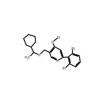 CCOc1cc(-c2c(CC)cccc2CC)ncc1COC(C)C1CCCCC1